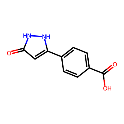 O=C(O)c1ccc(-c2cc(=O)[nH][nH]2)cc1